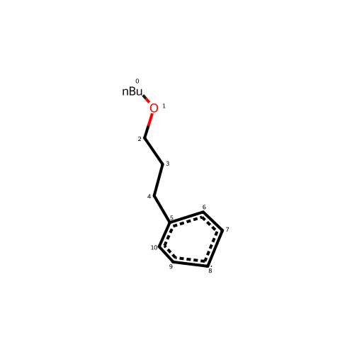 CCCCOCCCc1cc[c]cc1